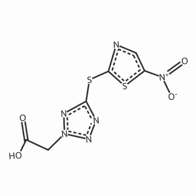 O=C(O)Cn1nnc(Sc2ncc([N+](=O)[O-])s2)n1